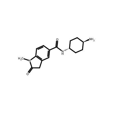 CN1C(=O)Cc2cc(C(=O)N[C@H]3CC[C@H](N)CC3)ccc21